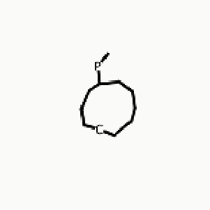 C[P]C1CCCCCCCCC1